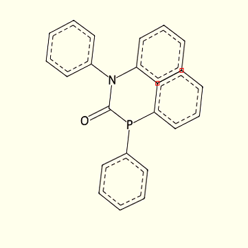 O=C(N(c1ccccc1)c1ccccc1)P(c1ccccc1)c1ccccc1